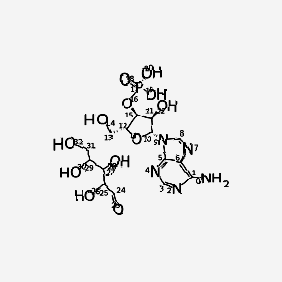 Nc1ncnc2c1ncn2[C@@H]1O[C@H](CO)[C@@H](OP(=O)(O)O)[C@H]1O.O=CC(O)C(O)C(O)CO